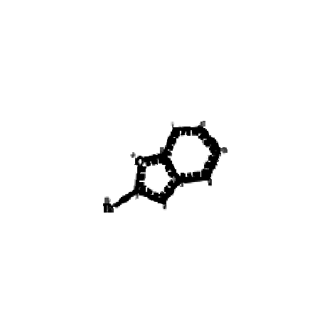 Brc1[c]c2ccccc2o1